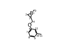 CB1CC1COc1cccc(C)c1